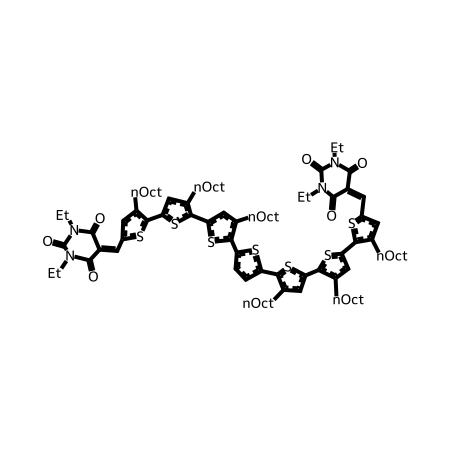 CCCCCCCCc1cc(C=C2C(=O)N(CC)C(=O)N(CC)C2=O)sc1-c1cc(CCCCCCCC)c(-c2cc(CCCCCCCC)c(-c3ccc(-c4sc(-c5sc(-c6sc(C=C7C(=O)N(CC)C(=O)N(CC)C7=O)cc6CCCCCCCC)cc5CCCCCCCC)cc4CCCCCCCC)s3)s2)s1